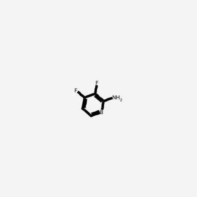 Nc1bccc(F)c1F